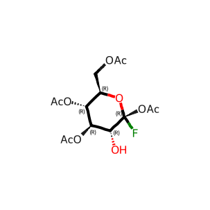 CC(=O)OC[C@H]1O[C@@](F)(OC(C)=O)[C@H](O)[C@@H](OC(C)=O)[C@@H]1OC(C)=O